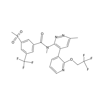 Cc1cc(-c2cccnc2OCC(F)(F)F)c(N(C)C(=O)c2cc(C(F)(F)F)cc(S(C)(=O)=O)c2)nn1